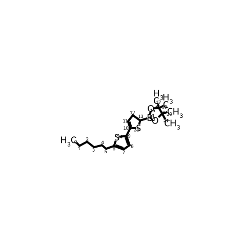 CCCCCCc1ccc(C2=CCC(B3OC(C)(C)C(C)(C)O3)S2)s1